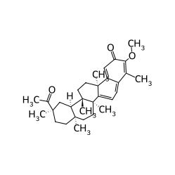 COC1=C(C)C2=CC=C3[C@@](C)(CC[C@@]4(C)[C@@H]5C[C@](C)(C(C)=O)CC[C@]5(C)CC[C@]34C)C2=CC1=O